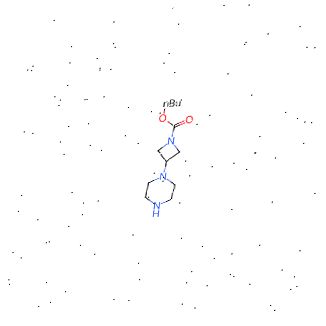 CCCCOC(=O)N1CC(N2CCNCC2)C1